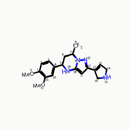 COc1ccc(C2CC(C(F)(F)F)n3nc(C4=CCNC4)cc3N2)cc1OC